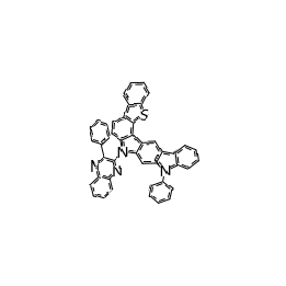 c1ccc(-c2nc3ccccc3nc2-n2c3cc4c(cc3c3c5sc6ccccc6c5ccc32)c2ccccc2n4-c2ccccc2)cc1